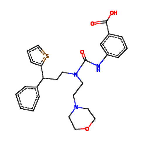 O=C(O)c1cccc(NC(=O)N(CCC(c2ccccc2)c2cccs2)CCN2CCOCC2)c1